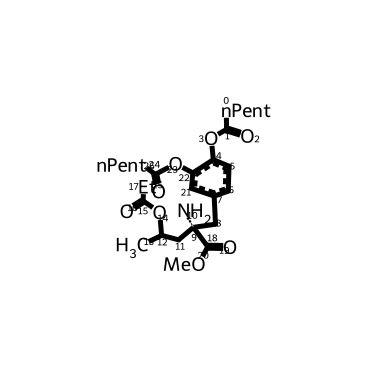 CCCCCC(=O)Oc1ccc(C[C@](N)(CC(C)OC(=O)CC)C(=O)OC)cc1OC(=O)CCCCC